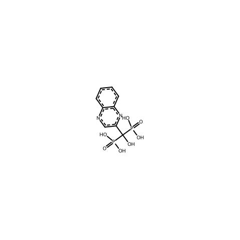 O=P(O)(O)C(O)(c1cnc2ccccc2n1)P(=O)(O)O